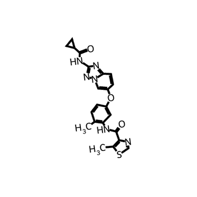 Cc1ccc(Oc2ccc3nc(NC(=O)C4CC4)nn3c2)cc1NC(=O)c1ncsc1C